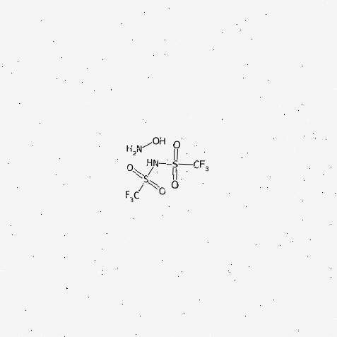 NO.O=S(=O)(NS(=O)(=O)C(F)(F)F)C(F)(F)F